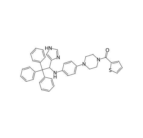 O=C(c1cccs1)N1CCN(c2ccc(NC(c3c[nH]cn3)C(c3ccccc3)(c3ccccc3)c3ccccc3)cc2)CC1